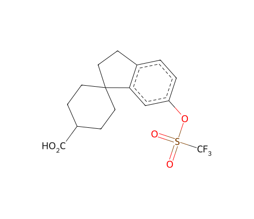 O=C(O)C1CCC2(CCc3ccc(OS(=O)(=O)C(F)(F)F)cc32)CC1